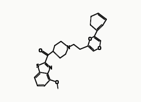 COc1cccc2sc(C(=O)C3CCN(CCC4=COC=C(C5=CC=CCC5)O4)CC3)nc12